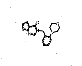 O=c1c2ccsc2ncn1Cc1ccccc1N1CCOCC1